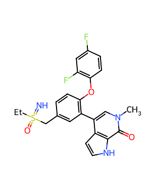 CCS(=N)(=O)Cc1ccc(Oc2ccc(F)cc2F)c(-c2cn(C)c(=O)c3[nH]ccc23)c1